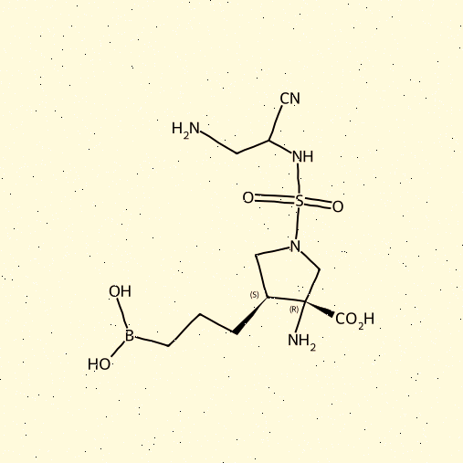 N#CC(CN)NS(=O)(=O)N1C[C@H](CCCB(O)O)[C@](N)(C(=O)O)C1